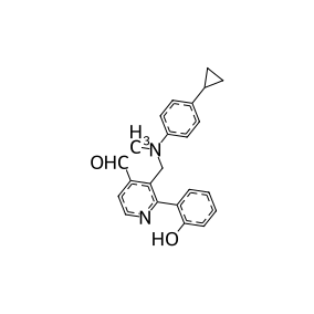 CN(Cc1c(C=O)ccnc1-c1ccccc1O)c1ccc(C2CC2)cc1